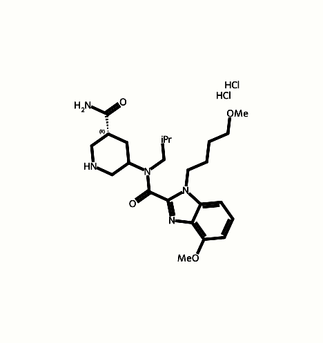 COCCCCn1c(C(=O)N(CC(C)C)C2CNC[C@H](C(N)=O)C2)nc2c(OC)cccc21.Cl.Cl